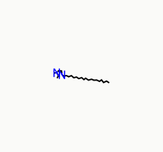 CCCCCCCCCCCCCCCCCCCN1C=CN(C)C1C